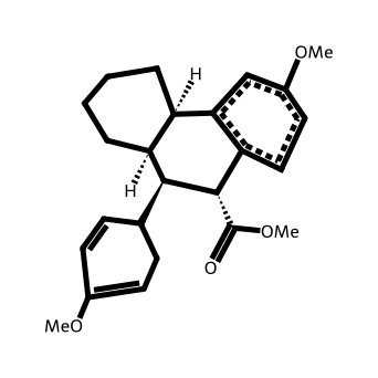 COC(=O)[C@H]1c2ccc(OC)cc2[C@@H]2CCCC[C@@H]2[C@@H]1C1C=CC(OC)=CC1